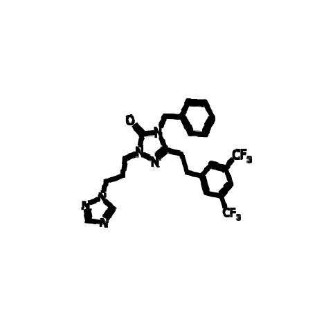 O=c1n(CCCn2cncn2)nc(CCc2cc(C(F)(F)F)cc(C(F)(F)F)c2)n1Cc1ccccc1